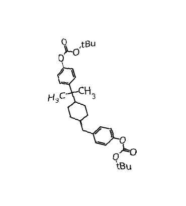 CC(C)(C)OC(=O)Oc1ccc(CC2CCC(C(C)(C)c3ccc(OC(=O)OC(C)(C)C)cc3)CC2)cc1